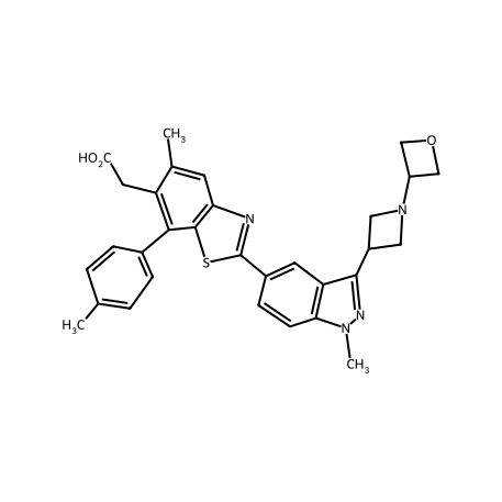 Cc1ccc(-c2c(CC(=O)O)c(C)cc3nc(-c4ccc5c(c4)c(C4CN(C6COC6)C4)nn5C)sc23)cc1